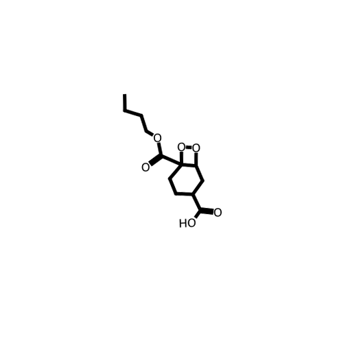 CCCCOC(=O)C12CCC(C(=O)O)CC1OO2